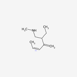 C=C(/C=C\C)C(CC)CNC